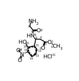 COC(=O)CC(NC(=O)CN)c1cccc([N+](=O)[O-])c1O.Cl